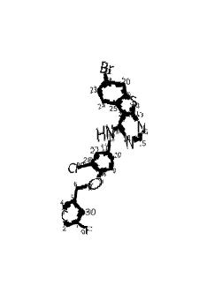 Fc1cccc(COc2ccc(Nc3ncnc4sc5cc(Br)ccc5c34)cc2Cl)c1